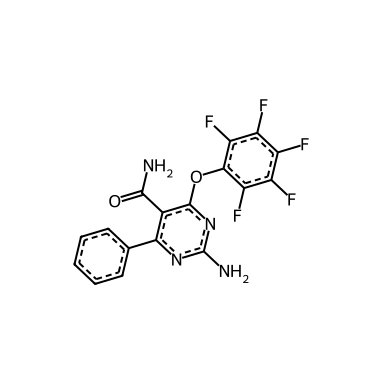 NC(=O)c1c(Oc2c(F)c(F)c(F)c(F)c2F)nc(N)nc1-c1ccccc1